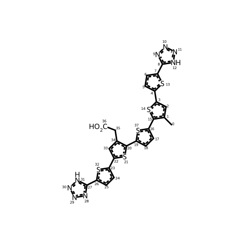 Cc1cc(-c2ccc(-c3nnn[nH]3)s2)sc1-c1ccc(-c2sc(-c3ccc(-c4nnn[nH]4)s3)cc2CC(=O)O)s1